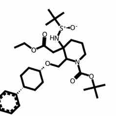 CCOC(=O)CC1(N[S@+]([O-])C(C)(C)C)CCCN(C(=O)OC(C)(C)C)C1CO[C@H]1CC[C@@H](c2ccccc2)CC1